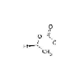 CC[C@H](C)OC(=O)Cl